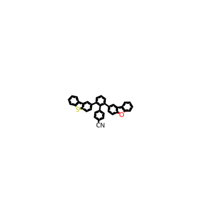 N#Cc1ccc(-c2c(-c3ccc4oc5ccccc5c4c3)cccc2-c2ccc3sc4ccccc4c3c2)cc1